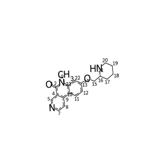 Cn1c(=O)c2cnccc2c2ccc(OCC3CCCCN3)cc21